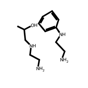 CC(O)CNCCN.NCCNc1ccccc1